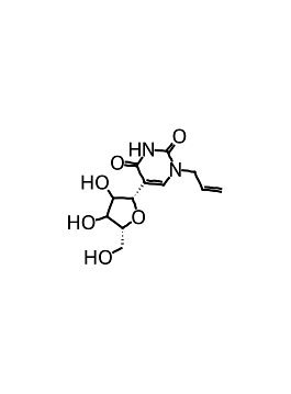 C=CCn1cc([C@@H]2O[C@H](CO)C(O)C2O)c(=O)[nH]c1=O